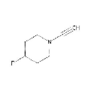 C#CN1CCC(F)CC1